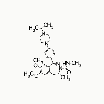 CNC(=O)N1N=C(c2ccc(N3CCN(C(C)C)CC3)cc2)c2cc(OC)c(OC)cc2CC1C